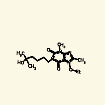 CCOn1c(C)nc2c1c(=O)n(CCCCC(C)(C)O)c(=O)n2C